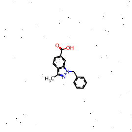 Cc1nn(Cc2ccccc2)c2cc(C(=O)O)ccc12